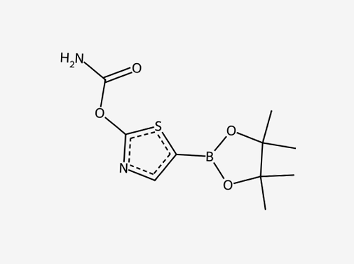 CC1(C)OB(c2cnc(OC(N)=O)s2)OC1(C)C